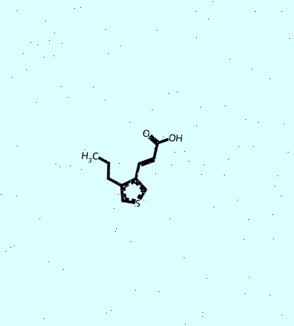 CCCc1cscc1C=CC(=O)O